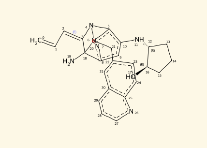 C=C/C=C1/N2c3cnc(cc3N[C@@H]3CCC[C@H]3O)C1(N)N2Cc1ccc2ncccc2c1